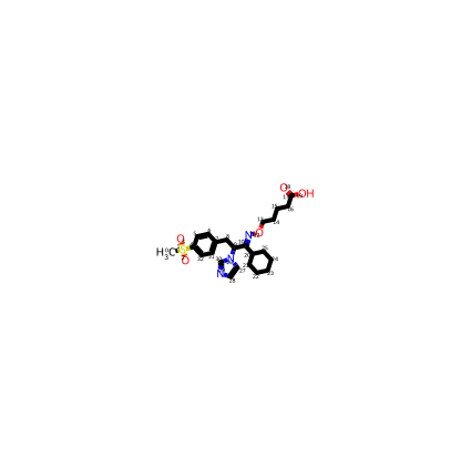 CS(=O)(=O)c1ccc(CC(C(=NOCCCCC(=O)O)C2CCCCC2)n2ccnc2)cc1